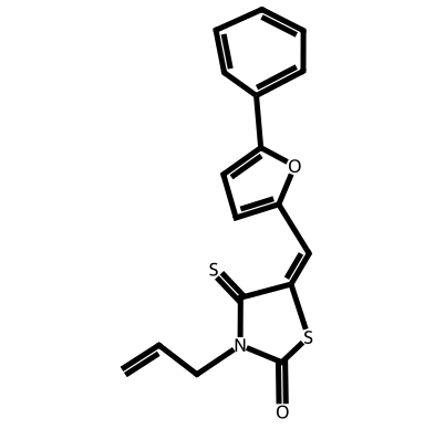 C=CCN1C(=O)SC(=Cc2ccc(-c3ccccc3)o2)C1=S